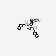 CC(C)(C)OC(=O)N1C[C@H](C(=O)NCCc2ccc3ccccc3c2)[C@@H](C(=O)NCCc2ccc3ccccc3c2)C1